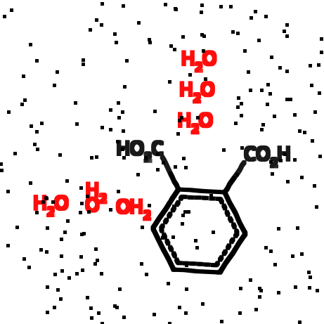 O.O.O.O.O.O.O=C(O)c1ccccc1C(=O)O